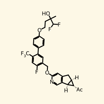 CC(=O)[C@H]1[C@@H]2Cc3cc(OCc4cc(-c5ccc(OCCC(C)(O)C(F)F)cc5)c(C(F)(F)F)cc4F)ncc3[C@@H]21